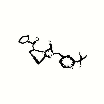 O=C([C@@H]1CCCc2nn(Cc3ccnc(C(F)(F)F)c3)c(=O)n21)N1CCCC1